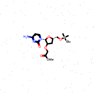 COC(=O)COC1C[C@@H](CO[Si](C)(C)C(C)(C)C)O[C@H]1n1ccc(N)nc1=O